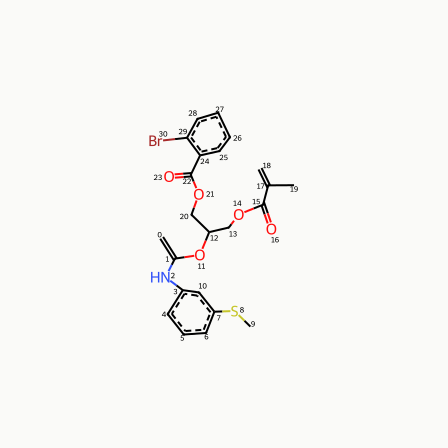 C=C(Nc1cccc(SC)c1)OC(COC(=O)C(=C)C)COC(=O)c1ccccc1Br